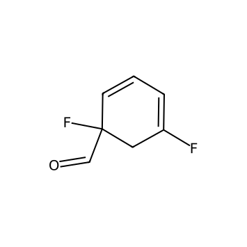 O=CC1(F)C=CC=C(F)C1